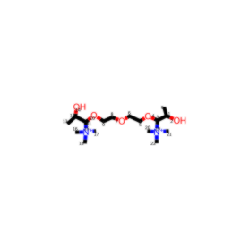 CC(O)C(OCCOCCOC(C(C)O)[N+](C)(C)C)[N+](C)(C)C